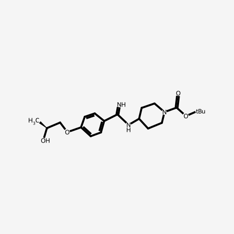 C[C@H](O)COc1ccc(C(=N)NC2CCN(C(=O)OC(C)(C)C)CC2)cc1